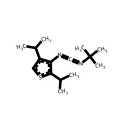 CC(C)c1csc(C(C)C)c1N=C=NC(C)(C)C